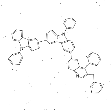 c1ccc(Cc2cnc3ccc(-c4ccc5c(c4)c4cc(-c6ccc7c(c6)c6ccccc6n7-c6ccccc6)ccc4n5-c4ccccc4)cc3c2-c2ccccc2)cc1